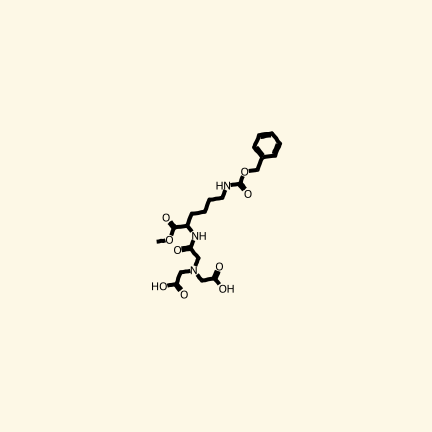 COC(=O)C(CCCCNC(=O)OCc1ccccc1)NC(=O)CN(CC(=O)O)CC(=O)O